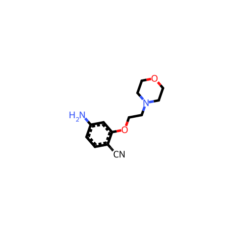 N#Cc1ccc(N)cc1OCCN1CCOCC1